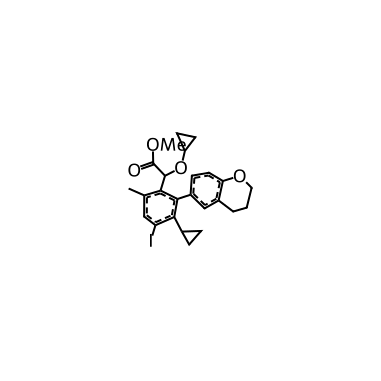 COC(=O)C(OC1CC1)c1c(C)cc(I)c(C2CC2)c1-c1ccc2c(c1)CCCO2